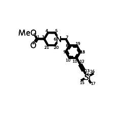 COC(=O)C1CCN(Cc2ccc(C#C[Si](C)(C)C)cc2)CC1